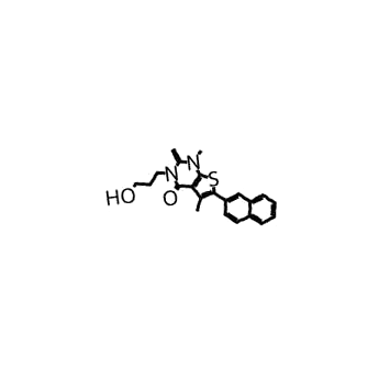 C=C1N(CCCO)C(=O)c2c(sc(-c3ccc4ccccc4c3)c2C)N1C